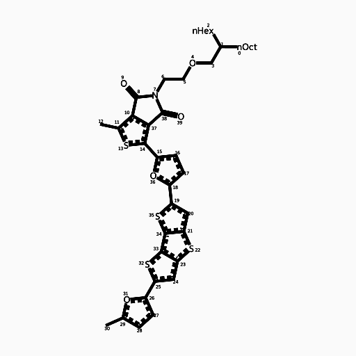 CCCCCCCCC(CCCCCC)COCCN1C(=O)c2c(C)sc(-c3ccc(-c4cc5sc6cc(-c7ccc(C)o7)sc6c5s4)o3)c2C1=O